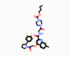 CCCCOC(=O)N1CCN(C(=O)CNC(=O)c2cc(OCC(=O)N3CCCC3c3ccc(F)c(F)c3)c3ccc(C)cc3n2)CC1